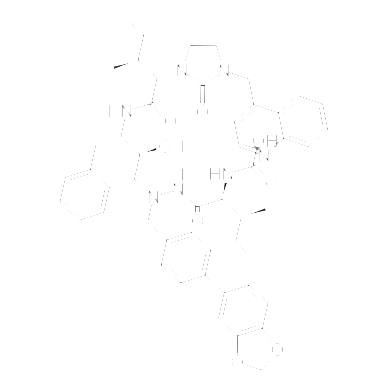 CC[C@H](C)[C@H](NC(=O)O)C(=O)NN(Cc1ccc(-c2ccc3c(c2)OCO3)cc1)C[C@H](O)[C@H](Cc1ccccc1)NC(=O)[C@H]([C@@H](C)CC)N1CCN(Cc2ccnc3ccccc23)C1=O